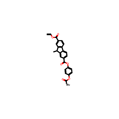 C=COC(=O)c1ccc2c(c1)C(C)c1cc(C(=O)Oc3ccc(OC(=O)C(C)(C)C)cc3)ccc1-2